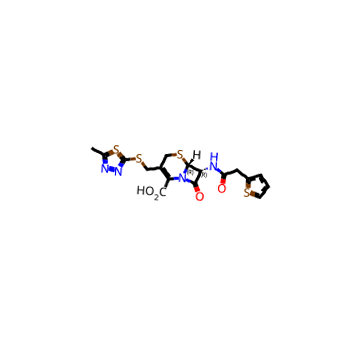 Cc1nnc(SCC2=C(C(=O)O)N3C(=O)[C@@H](NC(=O)Cc4cccs4)[C@H]3SC2)s1